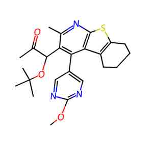 COc1ncc(-c2c(C(OC(C)(C)C)C(C)=O)c(C)nc3sc4c(c23)CCCC4)cn1